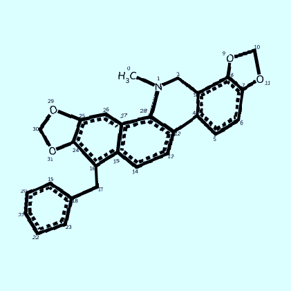 CN1Cc2c(ccc3c2OCO3)-c2ccc3c(Cc4ccccc4)c4c(cc3c21)OCO4